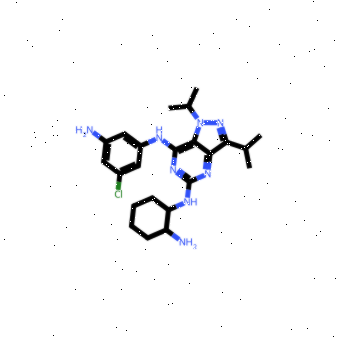 CC(C)c1nn(C(C)C)c2c(Nc3cc(N)cc(Cl)c3)nc(NC3CCCCC3N)nc12